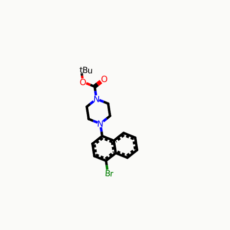 CC(C)(C)OC(=O)N1CCN(c2ccc(Br)c3ccccc23)CC1